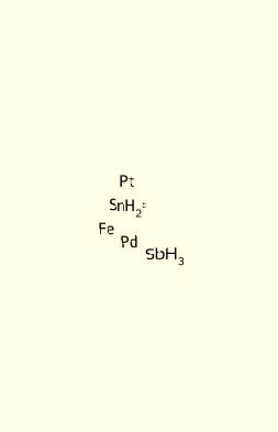 [Fe].[Pd].[Pt].[SbH3].[SnH2]